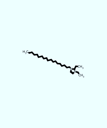 CCCCCCCCCCCCCCCCCCCN1C=CN(CC)C1CC